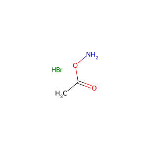 Br.CC(=O)ON